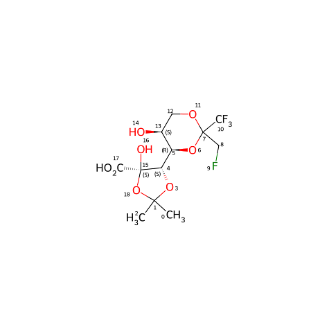 CC1(C)O[C@@H]([C@@H]2OC(CF)(C(F)(F)F)OC[C@@H]2O)[C@@](O)(C(=O)O)O1